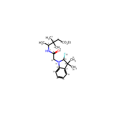 CCOC(=O)CC(C)(C)C(C)NC(=O)CN1c2ccccc2C(C)(C)C1F